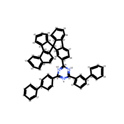 c1ccc(-c2ccc(-c3nc(-c4cccc(-c5ccccc5)c4)nc(-c4ccc5c(c4)C4(c6ccccc6-5)c5ccccc5-c5c4ccc4ccccc54)n3)cc2)cc1